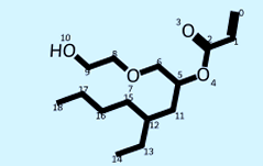 C=CC(=O)OC(COCCO)CC(CC)CCCC